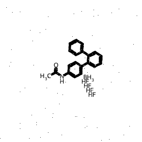 B.CC(=O)Nc1ccc(-c2ccccc2-c2ccccc2)cc1.F.F.F.F